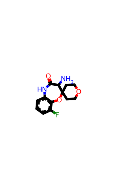 NC1C(=O)Nc2cccc(F)c2OC12CCOCC2